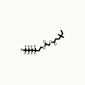 CCC(C)(C)CCC(=O)OCC(=O)OCCC(F)(F)C(F)(F)C(F)(F)C(F)(F)F